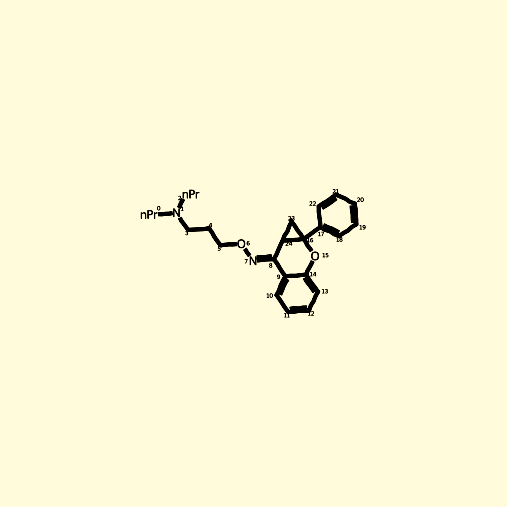 CCCN(CCC)CCCON=C1c2ccccc2OC2(c3ccccc3)CC12